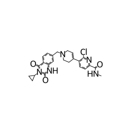 CNC(=O)c1ccc(C2=CCN(Cc3ccc4c(=O)n(C5CC5)c(=O)[nH]c4c3)CC2)c(Cl)n1